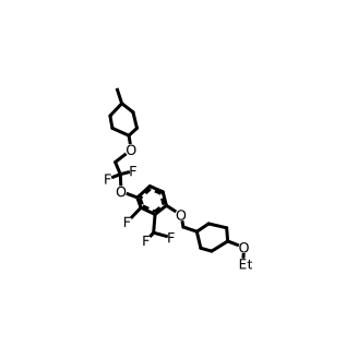 CCOC1CCC(COc2ccc(OC(F)(F)COC3CCC(C)CC3)c(F)c2C(F)F)CC1